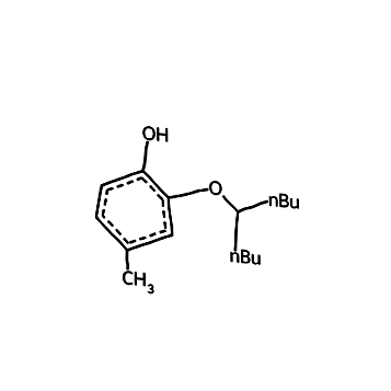 CCCCC(CCCC)Oc1cc(C)ccc1O